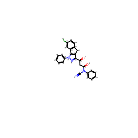 N#CN(C(=O)CC(=O)c1nn(-c2ccccc2)c2c1Cc1ccc(F)cc1-2)c1ccccc1